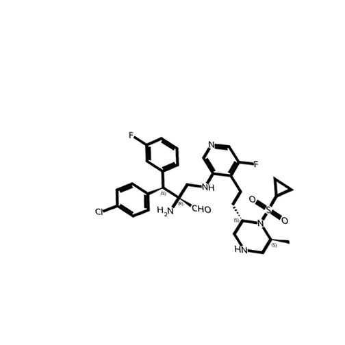 C[C@H]1CNC[C@H](CCc2c(F)cncc2NC[C@@](N)(C=O)[C@@H](c2ccc(Cl)cc2)c2cccc(F)c2)N1S(=O)(=O)C1CC1